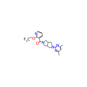 Cc1cc(C)nc(N2CC3CN(C(=O)c4cccnc4OCC(F)(F)F)CC3C2)n1